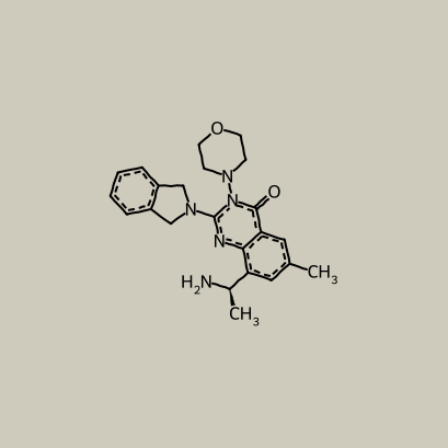 Cc1cc([C@@H](C)N)c2nc(N3Cc4ccccc4C3)n(N3CCOCC3)c(=O)c2c1